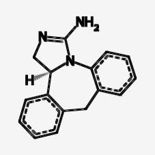 NC1=NC[C@@H]2c3ccccc3Cc3ccccc3N12